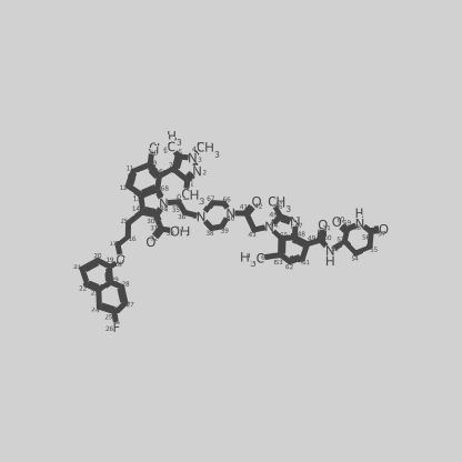 Cc1nn(C)c(C)c1-c1c(Cl)ccc2c(CCCOc3cccc4cc(F)ccc34)c(C(=O)O)n(CCN3CCN(C(=O)Cn4c(C)nc5c(C(=O)NC6CCC(=O)NC6=O)ccc(C)c54)CC3)c12